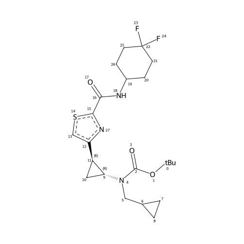 CC(C)(C)OC(=O)N(CC1CC1)[C@@H]1C[C@H]1c1csc(C(=O)NC2CCC(F)(F)CC2)n1